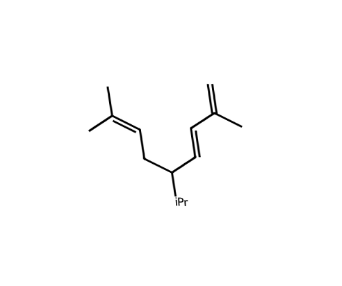 C=C(C)C=CC(CC=C(C)C)C(C)C